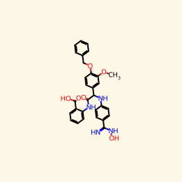 COc1cc(C(Nc2ccc(C(=N)NO)cc2)C(=O)Nc2ccccc2C(=O)O)ccc1OCc1ccccc1